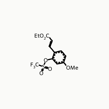 CCOC(=O)C=Cc1ccc(OC)cc1OS(=O)(=O)C(F)(F)F